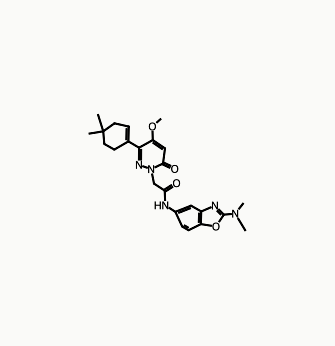 COc1cc(=O)n(CC(=O)Nc2ccc3oc(N(C)C)nc3c2)nc1C1=CCC(C)(C)CC1